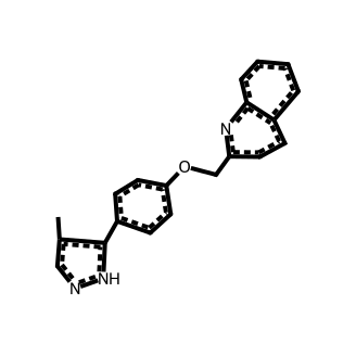 Cc1cn[nH]c1-c1ccc(OCc2ccc3ccccc3n2)cc1